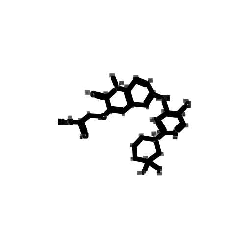 CNC(=O)COc1cc2cc(Nc3nc(N4CCCC(F)(F)C4)ncc3Cl)ccc2n(C)c1=O